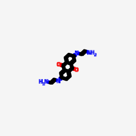 NC=CN=C1C=C2C(=O)C3=CCC(=NC=CN)C=C3C(=O)C2=CC1